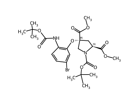 COC(=O)[C@@H]1C[C@](Oc2cc(Br)ccc2NC(=O)OC(C)(C)C)(C(=O)OC)CN1C(=O)OC(C)(C)C